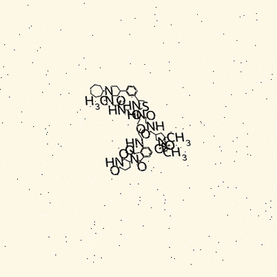 CC1CC(C(=O)NCC(=O)NC2NC(c3cccc(C4CCN(C5CCCCCC5)C(N(C)CC(=O)NCCOCCOCCNc5cccc6c5C(=O)N(C5CCC(=O)NC5=O)C6=O)C4)c3)CS2)CN1S(C)(=O)=O